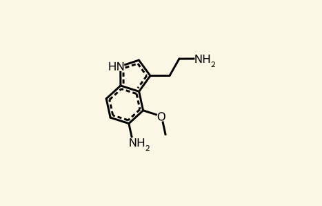 COc1c(N)ccc2[nH]cc(CCN)c12